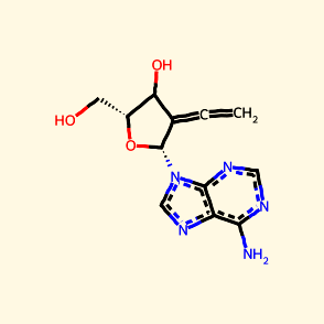 C=C=C1C(O)[C@@H](CO)O[C@H]1n1cnc2c(N)ncnc21